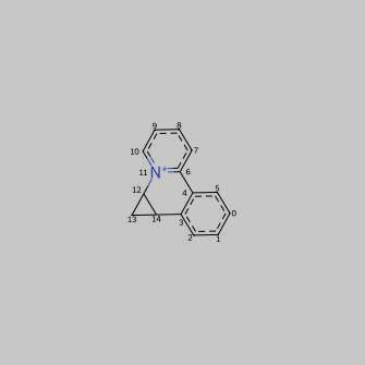 c1ccc2c(c1)-c1cccc[n+]1C1CC21